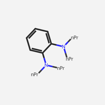 CCCN(CCC)c1ccccc1N(CCC)CCC